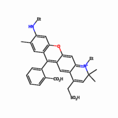 CCNc1cc2c(cc1C)C(c1ccccc1C(=O)O)=c1cc3c(cc1O2)=[N+](CC)C(C)(C)C=C3CS(=O)(=O)O